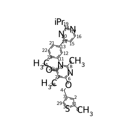 Cc1cc(COc2nc(C)n(-c3cc(-c4ccnc(C(C)C)n4)ccc3C)c(=O)c2C)cs1